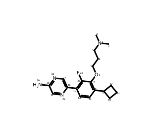 CN(C)CCCOc1c(C2CCC2)ccc(-c2cnc(N)cn2)c1F